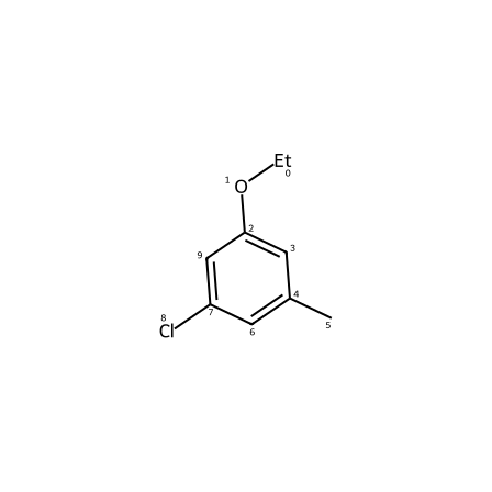 CCOc1cc(C)cc(Cl)c1